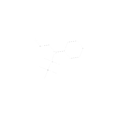 C=CCN(C1CCCCC1)[Si](C)(C)C(C)(C)C